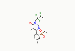 CCS(=O)(=O)c1cc(C)ccc1-c1ncn(CC(F)(F)C(C)F)c(=O)c1C